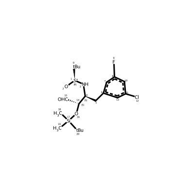 CC(C)(C)[S@+]([O-])N[C@@H](Cc1cc(F)cc(Cl)c1)[C@@H](C=O)O[Si](C)(C)C(C)(C)C